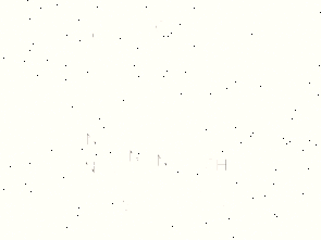 CC1(C2=Nn3c(nnc3-c3ccc(Cl)c(Cl)c3)SC2)CC1